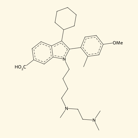 COc1ccc(-c2c(C3CCCCC3)c3ccc(C(=O)O)cc3n2CCCCN(C)CCN(C)C)c(C)c1